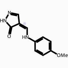 COc1ccc(N/C=C2/C=NNC2=O)cc1